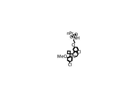 CCCS(=O)(=O)NCCOc1ccc2c(c1)C(C1(c3ccc(Cl)cc3OC)CCC1)NCC2.Cl